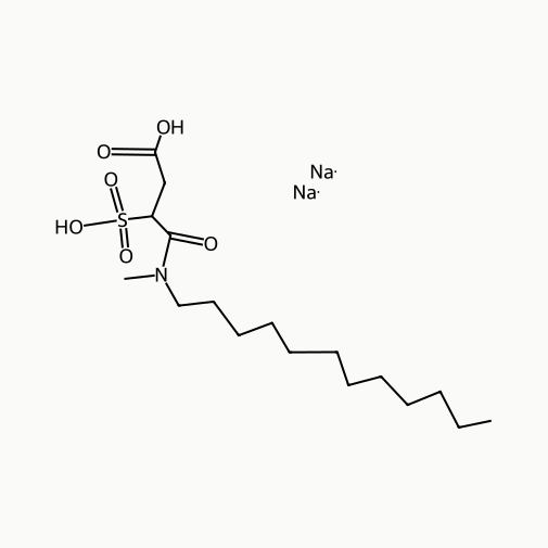 CCCCCCCCCCCCN(C)C(=O)C(CC(=O)O)S(=O)(=O)O.[Na].[Na]